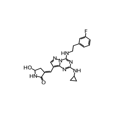 O=C1NC(O)C/C1=C\c1cnn2c(NCCc3cccc(F)c3)nc(NC3CC3)nc12